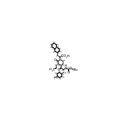 C=CC[C@H]1C(=O)N([C@@H](Cc2ccc3ccccc3c2)C(=O)O)CCN1C(=O)[C@@H](Cc1ccc(F)cc1)NC(=O)OC(C)(C)C